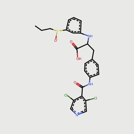 CCC[S+]([O-])c1cccc(NC(Cc2ccc(NC(=O)c3c(Cl)cncc3Cl)cc2)C(=O)O)c1